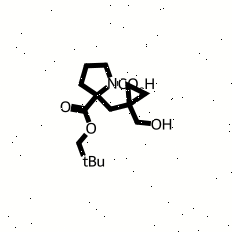 CC(C)(C)COC(=O)C1(CC2(CO)CC2)CCCN1C(=O)O